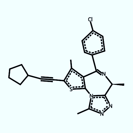 Cc1c(C#CC2CCCC2)sc2c1C(c1ccc(Cl)cc1)=N[C@@H](C)c1nnc(C)n1-2